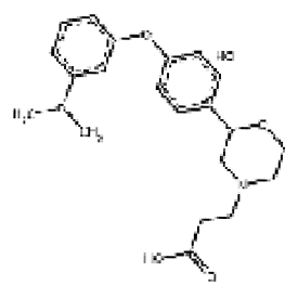 CN(C)c1cccc(Oc2ccc(C3CN(CCC(=O)O)CCO3)cc2)c1.Cl